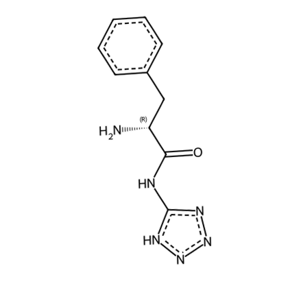 N[C@H](Cc1ccccc1)C(=O)Nc1nnn[nH]1